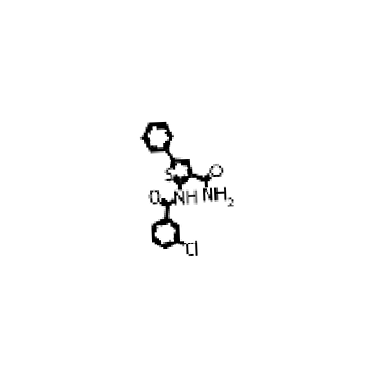 NC(=O)c1cc(-c2ccccc2)sc1NC(=O)c1cccc(Cl)c1